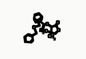 CC1(C)COC(=O)C1OC(=O)[C@H]1CC2C=CC1C2COCc1ccccc1